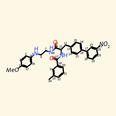 COc1ccc(NCCNC(=O)C(Cc2ccc(-c3cccc([N+](=O)[O-])c3)cc2)NC(=O)c2cccc(C)c2)cc1